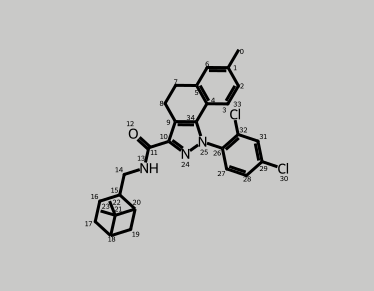 Cc1ccc2c(c1)CCc1c(C(=O)NCC3CCC4CC3C4(C)C)nn(-c3ccc(Cl)cc3Cl)c1-2